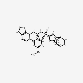 COc1cc(-c2ccc3c(c2NC(=O)NS(=O)(=O)c2cc4n(n2)C2CCN(CC2)C4)CCC3)ccn1